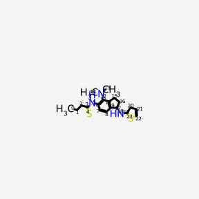 CCCC(=S)Nc1ccc2c(c1N(C)C)CCC2NC1CC=CS1